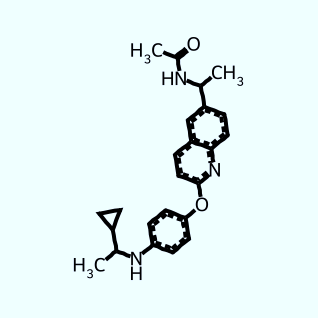 CC(=O)NC(C)c1ccc2nc(Oc3ccc(NC(C)C4CC4)cc3)ccc2c1